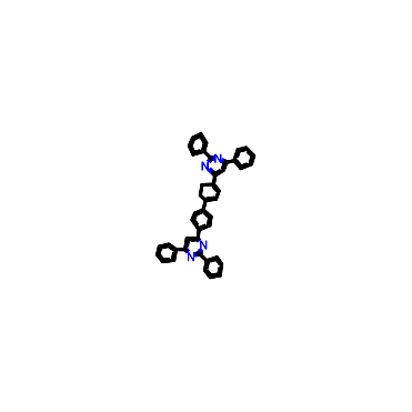 C1=C(c2ccc(-c3cc(-c4ccccc4)nc(-c4ccccc4)n3)cc2)CCC(c2cc(-c3ccccc3)nc(-c3ccccc3)n2)=C1